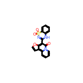 O=c1c(C2=NS(=O)(=O)c3ccccc3N2)c2occc2c2ccccn12